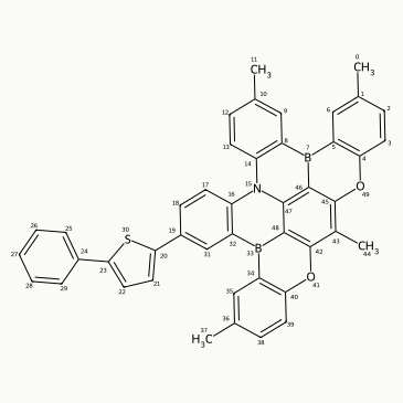 Cc1ccc2c(c1)B1c3cc(C)ccc3N3c4ccc(-c5ccc(-c6ccccc6)s5)cc4B4c5cc(C)ccc5Oc5c(C)c(c1c3c54)O2